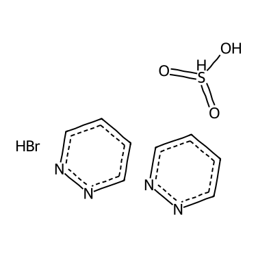 Br.O=[SH](=O)O.c1ccnnc1.c1ccnnc1